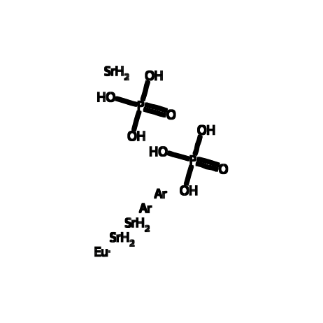 O=P(O)(O)O.O=P(O)(O)O.[Ar].[Ar].[Eu].[SrH2].[SrH2].[SrH2]